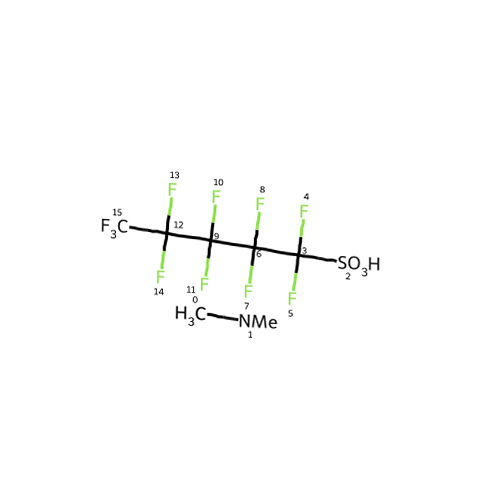 CNC.O=S(=O)(O)C(F)(F)C(F)(F)C(F)(F)C(F)(F)C(F)(F)F